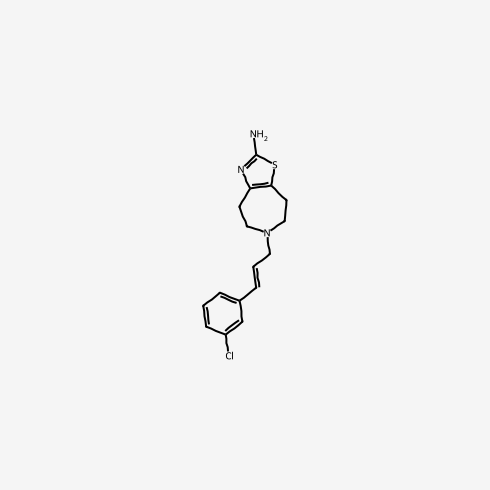 Nc1nc2c(s1)CCN(C/C=C/c1cccc(Cl)c1)CC2